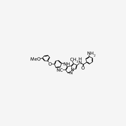 COc1cccc(Oc2ccc(Nc3c(C#N)cnn4cc(NC(=O)c5cccc(N)c5)c(C)c34)cc2)c1